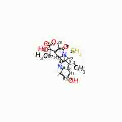 CCc1c2c(nc3ccc(O)cc13)-c1cc3c(c(=O)n1C2)COC(=O)C3(O)CC.S